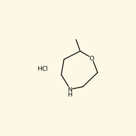 CC1CCNCCO1.Cl